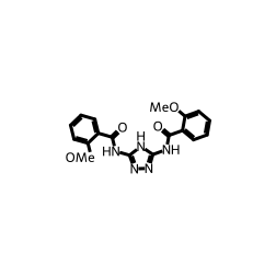 COc1ccccc1C(=O)Nc1nnc(NC(=O)c2ccccc2OC)[nH]1